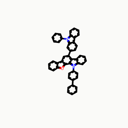 c1ccc(-c2ccc(-n3c4ccccc4c4c(-c5ccc6c7ccccc7n(-c7ccccc7)c6c5)cc5c6ccccc6oc5c43)cc2)cc1